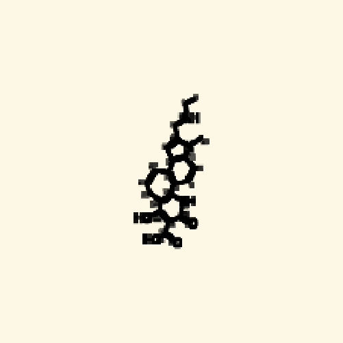 CCNCc1cc2c3c(ccc2n1C)-c1[nH]c(=O)c(C(=O)O)c(O)c1CC=C3